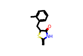 C=C1NC(=O)C(Cc2ccccc2C)S1